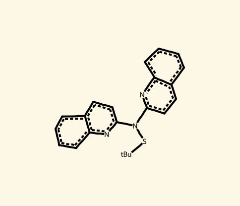 CC(C)(C)SN(c1ccc2ccccc2n1)c1ccc2ccccc2n1